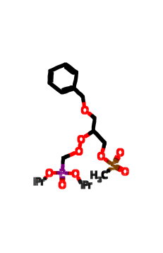 CC(C)OP(=O)(COOC(COCc1ccccc1)COS(C)(=O)=O)OC(C)C